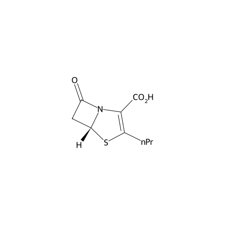 CCCC1=C(C(=O)O)N2C(=O)C[C@H]2S1